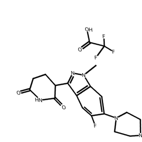 Cn1nc(C2CCC(=O)NC2=O)c2cc(F)c(N3CCNCC3)cc21.O=C(O)C(F)(F)F